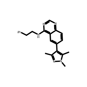 Cc1nn(C)c(C)c1-c1ccc2ncnc(NCCC(C)C)c2c1